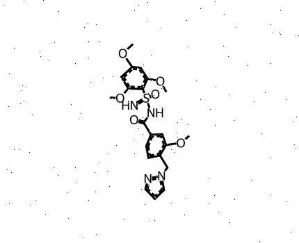 COc1cc(OC)c(S(=N)(=O)NC(=O)c2ccc(Cn3cccn3)c(OC)c2)c(OC)c1